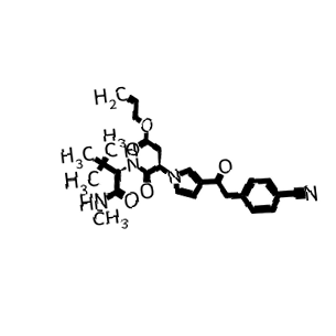 C=CCOC(=O)C[C@H](C(=O)N[C@H](C(=O)NC)C(C)(C)C)n1ccc(C(=O)Cc2ccc(C#N)cc2)c1